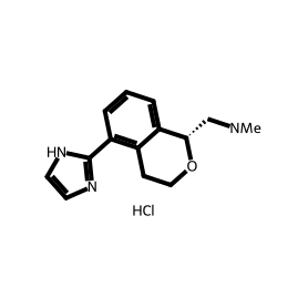 CNC[C@@H]1OCCc2c(-c3ncc[nH]3)cccc21.Cl